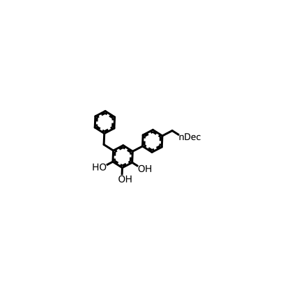 CCCCCCCCCCCc1ccc(-c2cc(Cc3ccccc3)c(O)c(O)c2O)cc1